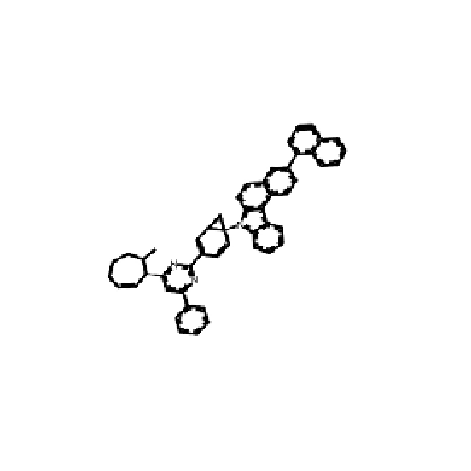 CC1CCCC=C[C@@H]1c1cc(-c2ccccc2)nc(C2=CC3C[C@]3(n3c4ccccc4c4c5ccc(-c6cc#cc7ccccc67)cc5ccc43)C=C2)n1